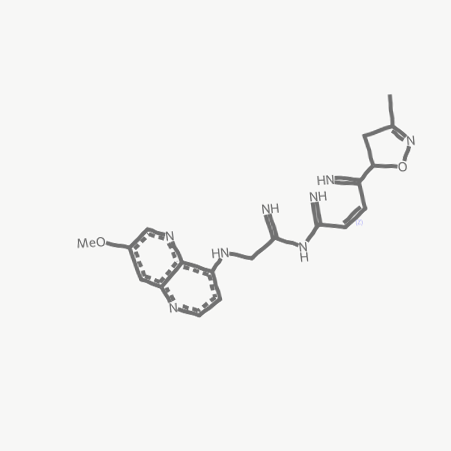 COc1cnc2c(NCC(=N)NC(=N)/C=C\C(=N)C3CC(C)=NO3)ccnc2c1